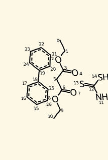 CCOC(=O)CC(=O)OCC.NC(=S)S.c1ccc(-c2ccccc2)cc1